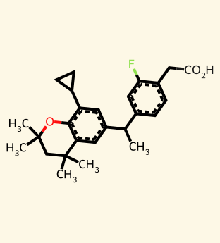 CC(c1ccc(CC(=O)O)c(F)c1)c1cc(C2CC2)c2c(c1)C(C)(C)CC(C)(C)O2